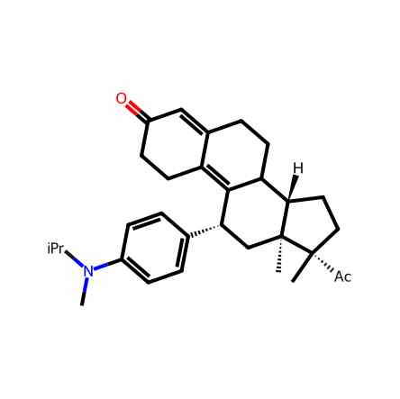 CC(=O)[C@@]1(C)CC[C@H]2C3CCC4=CC(=O)CCC4=C3[C@@H](c3ccc(N(C)C(C)C)cc3)C[C@@]21C